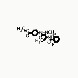 C/C=C(NC(=O)c1c(F)cccc1F)\C(=N/C)C(=O)NC1CCC(C(=O)OCC)CC1